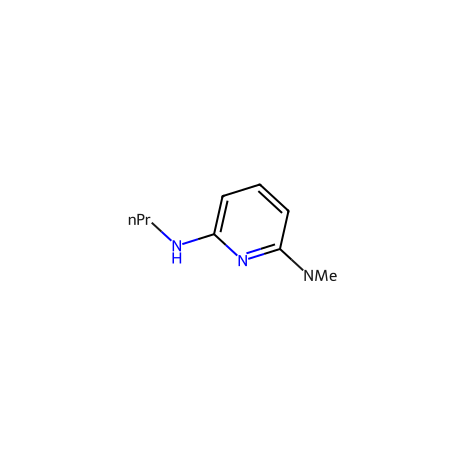 CCCNc1cccc(NC)n1